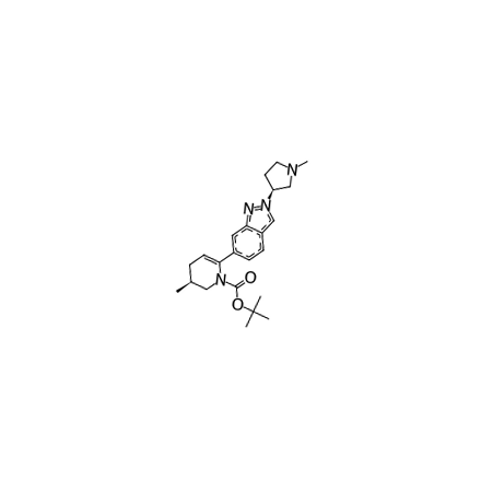 C[C@H]1CC=C(c2ccc3cn([C@H]4CCN(C)C4)nc3c2)N(C(=O)OC(C)(C)C)C1